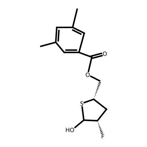 Cc1cc(C)cc(C(=O)OC[C@@H]2C[C@H](F)C(O)S2)c1